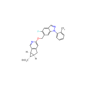 CCOC(=O)[C@H]1[C@@H]2Cc3cc(OCc4cc5c(cnn5-c5ccccc5C(F)(F)F)cc4F)ncc3[C@@H]21